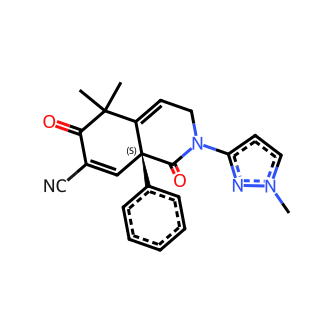 Cn1ccc(N2CC=C3C(C)(C)C(=O)C(C#N)=C[C@@]3(c3ccccc3)C2=O)n1